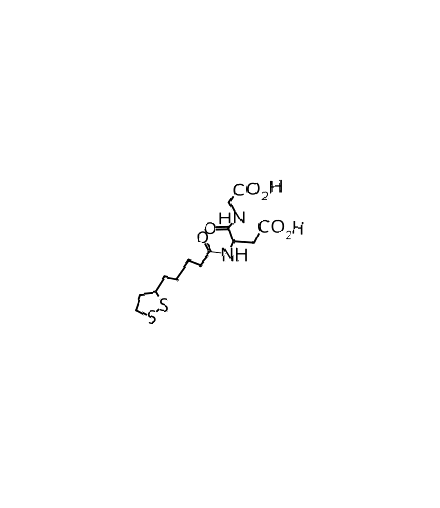 O=C(O)CNC(=O)C(CC(=O)O)NC(=O)CCCCC1CCSS1